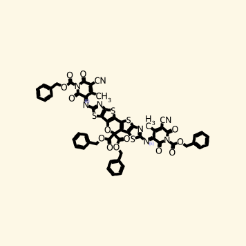 CC1=C(C#N)C(=O)N(C(=O)OCc2ccccc2)C(=O)/C1=N/c1nc2sc3c(c2s1)OC(C(=O)OCc1ccccc1)(C(=O)OCc1ccccc1)c1c-3sc2nc(/N=C3/C(=O)N(C(=O)OCc4ccccc4)C(=O)C(C#N)=C3C)sc12